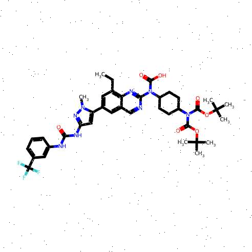 CCc1cc(-c2cc(NC(=O)Nc3cccc(C(F)(F)F)c3)nn2C)cc2cnc(N(C(=O)O)C3CCC(N(C(=O)OC(C)(C)C)C(=O)OC(C)(C)C)CC3)nc12